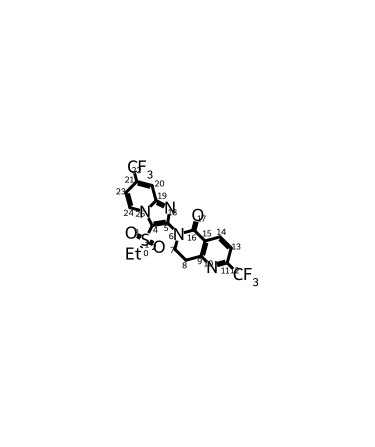 CCS(=O)(=O)c1c(N2CCc3nc(C(F)(F)F)ccc3C2=O)nc2cc(C(F)(F)F)ccn12